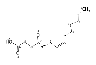 CCCCCC/C=C\COC(=O)CCC(=O)O